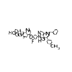 Cc1ccc(-c2cn(Cc3ccccc3)c3ccnc(Nc4ccc(Oc5ccnc6cc(OCC(C)(C)O)ccc56)c(F)c4)c3c2=O)cc1